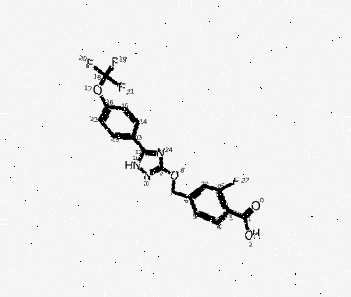 O=C(O)c1ccc(COc2n[nH]c(-c3ccc(OC(F)(F)F)cc3)n2)cc1F